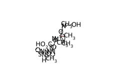 Cc1c(Nc2nc3ccccc3s2)nnc2c1CCCN2c1ccc(-c2cnn(C[C@]34C[C@]5(C)C[C@](C)(C3)C[C@@](OCCN(C)CCCCO)(C5)C4)c2C)c(C(=O)O)n1